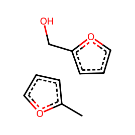 Cc1ccco1.OCc1ccco1